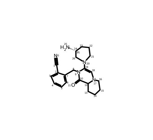 N#Cc1ccccc1CN1C(=O)C2CCCCN2C=C1N1CCC[C@@H](N)C1